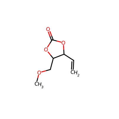 C=CC1OC(=O)OC1COC